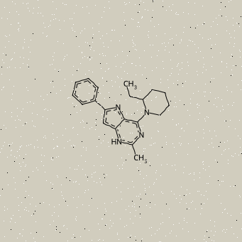 CCC1CCCCN1c1nc(C)[nH]c2cc(-c3ccccc3)nc1-2